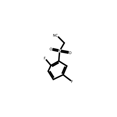 N#CCS(=O)(=O)c1cc(F)ccc1F